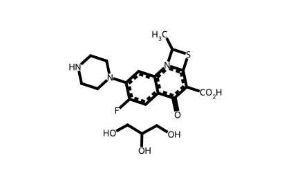 CC1Sc2c(C(=O)O)c(=O)c3cc(F)c(N4CCNCC4)cc3n21.OCC(O)CO